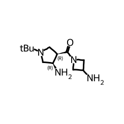 CC(C)(C)N1C[C@H](N)[C@H](C(=O)N2CC(N)C2)C1